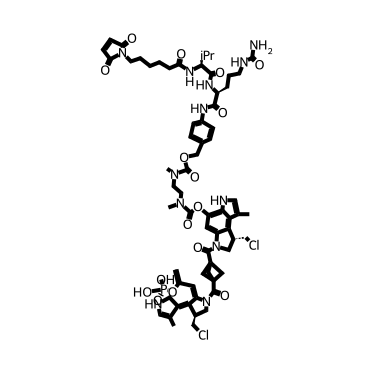 C=C(/C=C1\C(=C2/CNC=C2C)[C@H](CCl)CN1C(=O)C12CC(C(=O)N3C[C@@H](CCl)c4c3cc(OC(=O)N(C)CCN(C)C(=O)OCc3ccc(NC(=O)[C@H](CCCNC(N)=O)NC(=O)[C@@H](NC(=O)CCCCCN5C(=O)C=CC5=O)C(C)C)cc3)c3[nH]cc(C)c43)(C1)C2)OP(=O)(O)O